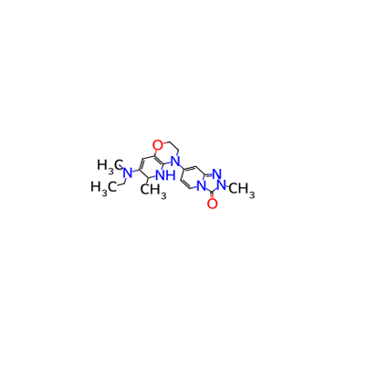 CCN(C)C1=CC2=C(NC1C)N(c1ccn3c(=O)n(C)nc3c1)CCO2